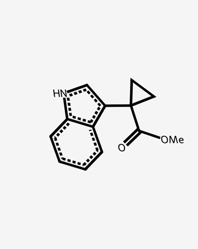 COC(=O)C1(c2c[nH]c3ccccc23)CC1